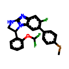 CSc1ccc(-c2cc3c(cc2F)nc2n3C(c3ccccc3OC(F)F)CN2)cc1